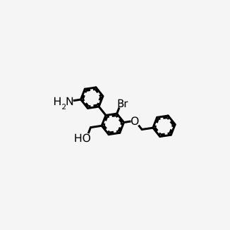 Nc1cccc(-c2c(CO)ccc(OCc3ccccc3)c2Br)c1